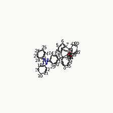 C1#CC2c3cccc4c3-c3cc(-c5ccc(N(C6=CCCC=C6)c6ccccc6)cc5)ccc3C(=C1)C2C1C=CC=CC41